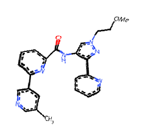 COCCn1cc(NC(=O)c2cccc(-c3cncc(C)c3)n2)c(-c2ccccn2)n1